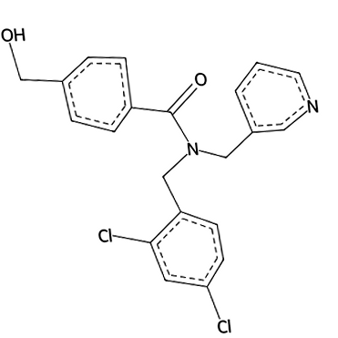 O=C(c1ccc(CO)cc1)N(Cc1cccnc1)Cc1ccc(Cl)cc1Cl